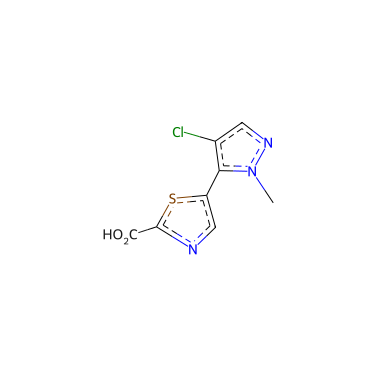 Cn1ncc(Cl)c1-c1cnc(C(=O)O)s1